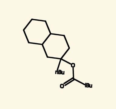 CCCCC1(OC(=O)C(C)CC)CCC2CCCCC2C1